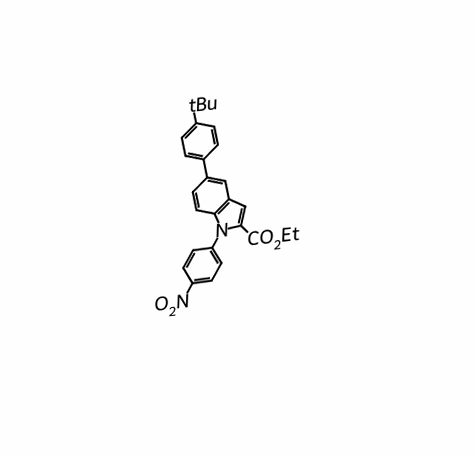 CCOC(=O)c1cc2cc(-c3ccc(C(C)(C)C)cc3)ccc2n1-c1ccc([N+](=O)[O-])cc1